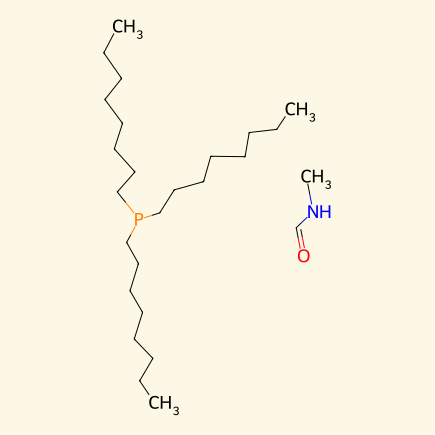 CCCCCCCCP(CCCCCCCC)CCCCCCCC.CNC=O